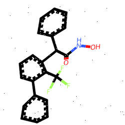 O=C(NO)C(c1ccccc1)c1cccc(-c2ccccc2)c1C(F)(F)F